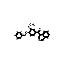 COc1cc(C(=O)c2cncc3ccccc23)ccc1OCc1ccccc1